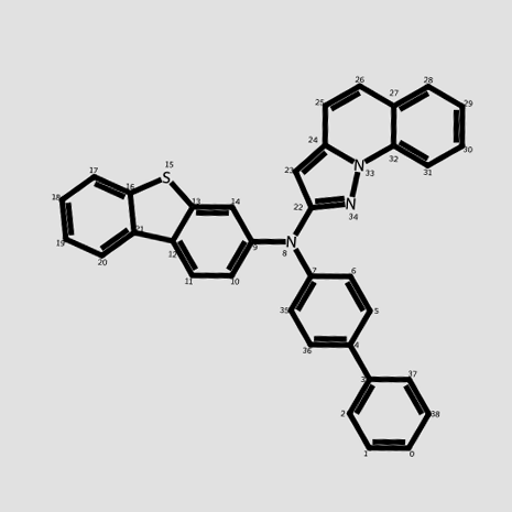 c1ccc(-c2ccc(N(c3ccc4c(c3)sc3ccccc34)c3cc4ccc5ccccc5n4n3)cc2)cc1